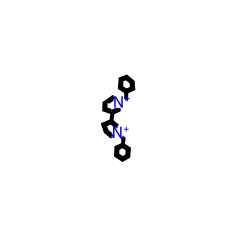 c1ccc(C[n+]2cccc(-c3ccc[n+](Cc4ccccc4)c3)c2)cc1